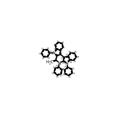 C=C1c2c(c3ccccc3n2-c2ccccc2)-c2c(n(-c3ccccc3)c3ccccc23)N1c1ccccc1